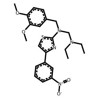 CCN(CC)CN(Cc1ccc(OC)c(OC)c1)c1nc(-c2cccc([N+](=O)[O-])c2)cs1